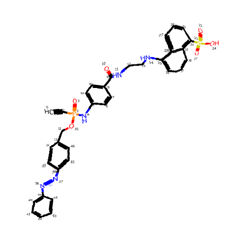 C#CP(=O)(Nc1ccc(C(=O)NCCNc2cccc3c(S(=O)(=O)O)cccc23)cc1)OCc1ccc(/N=N/c2ccccc2)cc1